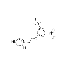 O=[N+]([O-])c1cc(OCCN2CC3C[C@H]2CN3)cc(C(F)(F)F)c1